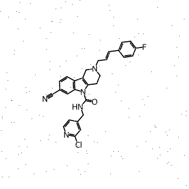 N#Cc1ccc2c3c(n(C(=O)NCc4ccnc(Cl)c4)c2c1)CCN(C/C=C/c1ccc(F)cc1)C3